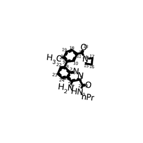 CCCNC(=O)c1nnc2c(-c3cc(C(=O)N4CCC4)ccc3C)cccc2c1N